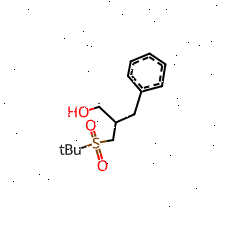 CC(C)(C)S(=O)(=O)CC([CH]O)Cc1ccccc1